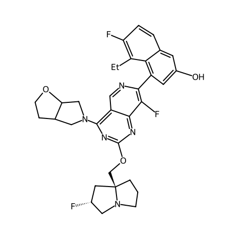 CCc1c(F)ccc2cc(O)cc(-c3ncc4c(N5CC6CCOC6C5)nc(OC[C@@]56CCCN5C[C@H](F)C6)nc4c3F)c12